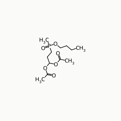 CCCCOP(C)(=O)CCC(OC(C)=O)OC(C)=O